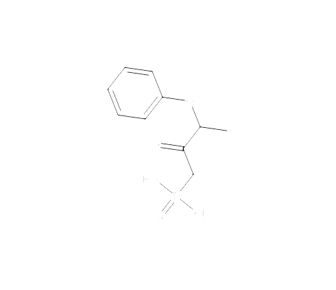 CC(Oc1ccccc1)C(=O)CP(=O)(O)O